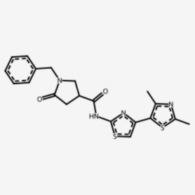 Cc1nc(C)c(-c2csc(NC(=O)C3CC(=O)N(Cc4ccccc4)C3)n2)s1